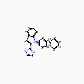 c1ccc2[nH]c(-c3ncc[nH]3)cc2c1.c1ccccc1.c1ccccc1